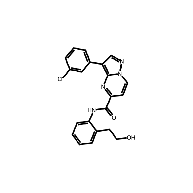 O=C(Nc1ccccc1CCO)c1ccn2ncc(-c3cccc(Cl)c3)c2n1